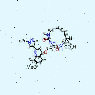 CCCn1cc(-c2cc(OCC[C@@H]3NC(=O)N(C)CCCCC=C[C@@H]4C[C@@]4(C(=O)O)NC3=O)c3ccc(OC)c(C)c3n2)cn1